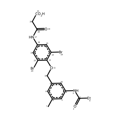 CCC(=O)Nc1cc(C)cc(COc2c(Br)cc(NC(=O)CC(=O)O)cc2Br)c1